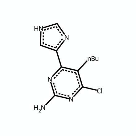 CCCCc1c(Cl)nc(N)nc1-c1c[nH]cn1